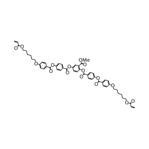 C=CC(=O)OCCCCCCOc1ccc(C(=O)Oc2ccc(C(=O)Oc3ccc(OC(=O)c4ccc(OC(=O)c5ccc(OCCCCCCOC(=O)C=C)cc5)cc4)c(C(=O)OC)c3)cc2)cc1